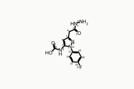 NNC(=O)Cc1cc(NC(=O)O)n(-c2ccc(F)cc2)n1